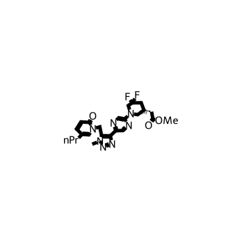 CCCc1ccc(=O)n(Cc2c(-c3cnc(N4C[C@@H](CC(=O)OC)CC(F)(F)C4)cn3)nnn2C)c1